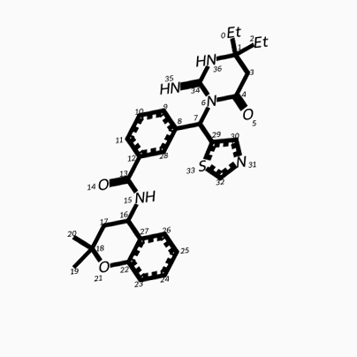 CCC1(CC)CC(=O)N(C(c2cccc(C(=O)NC3CC(C)(C)Oc4ccccc43)c2)c2cncs2)C(=N)N1